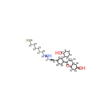 CC1=C(c2cccc(O)c2)C(c2ccc(C#CCNCCCCCCCCF)cc2)Oc2ccc(O)cc21